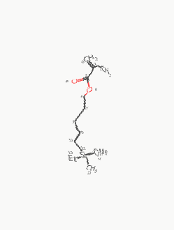 C=C(C)C(=O)OCCCCC[Si](C)(CC)OC